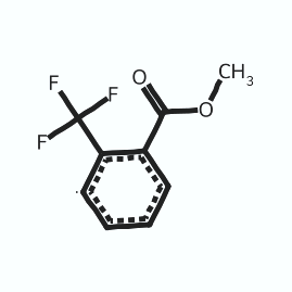 COC(=O)c1ccc[c]c1C(F)(F)F